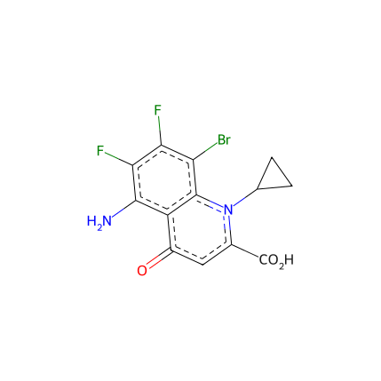 Nc1c(F)c(F)c(Br)c2c1c(=O)cc(C(=O)O)n2C1CC1